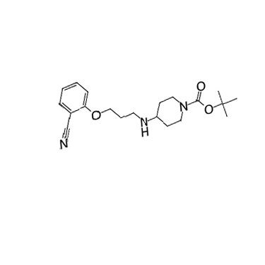 CC(C)(C)OC(=O)N1CCC(NCCCOc2ccccc2C#N)CC1